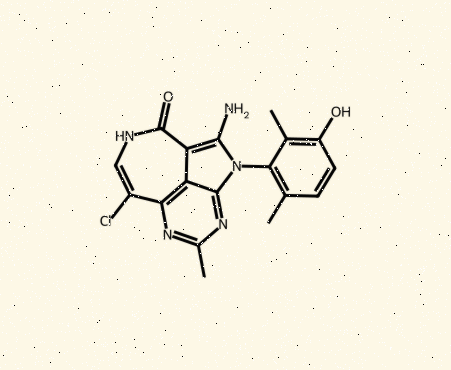 Cc1nc2c3c(c(N)n(-c4c(C)ccc(O)c4C)c3n1)C(=O)NC=C2Cl